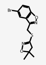 CC1(C)CC(SCc2noc3ccc(Br)cc23)=NO1